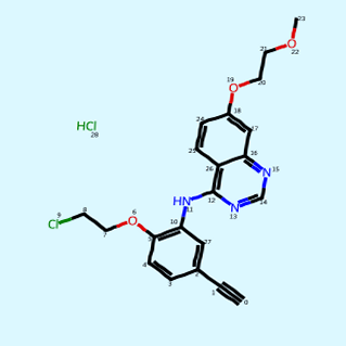 C#Cc1ccc(OCCCl)c(Nc2ncnc3cc(OCCOC)ccc23)c1.Cl